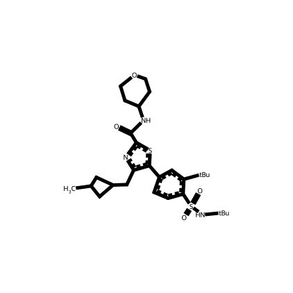 CC1CC(Cc2nc(C(=O)NC3CCOCC3)sc2-c2ccc(S(=O)(=O)NC(C)(C)C)c(C(C)(C)C)c2)C1